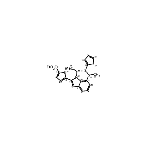 CCOC(=O)c1cnc(-c2cc3cccc(N(C)Sc4cccs4)c3n2COC)s1